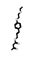 CCOCCOc1ccc(C=CCOC(=O)CC(C)=O)cc1